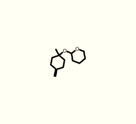 C=C1CCC(C)(OC2CCCCO2)CC1